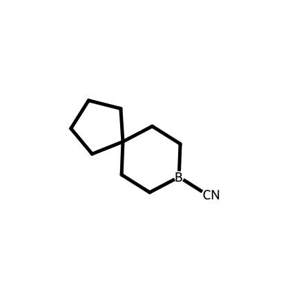 N#CB1CCC2(CCCC2)CC1